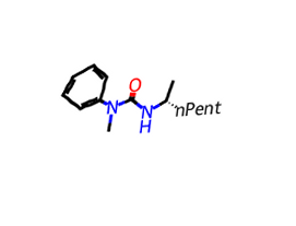 CCCCC[C@@H](C)NC(=O)N(C)c1ccccc1